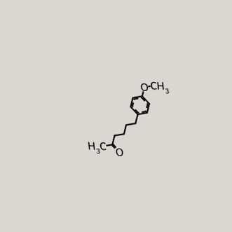 COc1ccc(CCCCC(C)=O)cc1